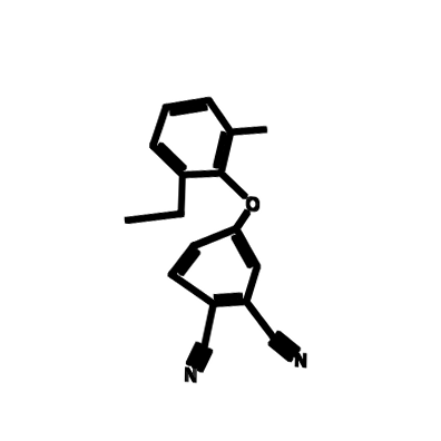 CCc1cccc(C)c1Oc1ccc(C#N)c(C#N)c1